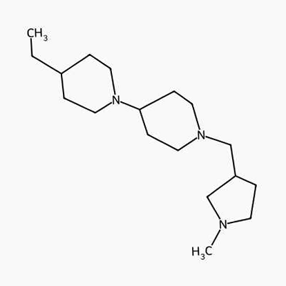 CCC1CCN(C2CCN(CC3CCN(C)C3)CC2)CC1